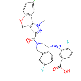 Cn1nc(C(=O)N(CCNc2cc(C(=O)O)ccc2F)Cc2cccc(F)c2)c2c1-c1cc(Cl)ccc1OC2